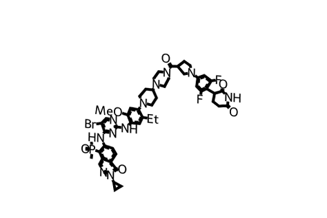 CCc1cc(Nc2ncc(Br)c(Nc3ccc4c(=O)n(C5CC5)ncc4c3P(C)(C)=O)n2)c(OC)cc1N1CCC(N2CCN(C(=O)C3CCN(c4cc(F)c(C5CCC(=O)NC5=O)c(F)c4)C3)CC2)CC1